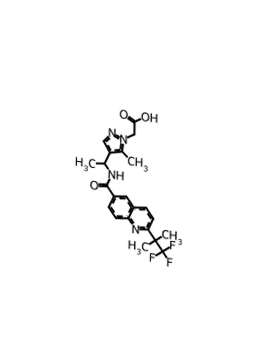 Cc1c(C(C)NC(=O)c2ccc3nc(C(C)(C)C(F)(F)F)ccc3c2)cnn1CC(=O)O